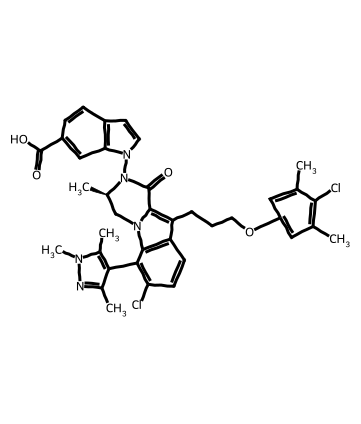 Cc1cc(OCCCc2c3n(c4c(-c5c(C)nn(C)c5C)c(Cl)ccc24)C[C@@H](C)N(n2ccc4ccc(C(=O)O)cc42)C3=O)cc(C)c1Cl